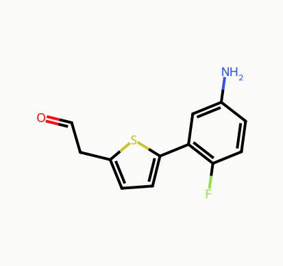 Nc1ccc(F)c(-c2ccc(CC=O)s2)c1